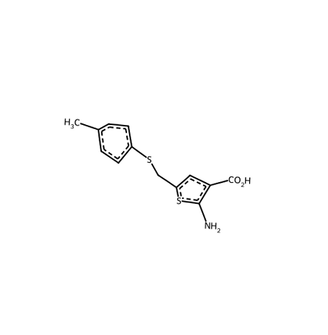 Cc1ccc(SCc2cc(C(=O)O)c(N)s2)cc1